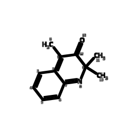 CC1=c2ccccc2=NC(C)(C)C1=O